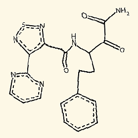 NC(=O)C(=O)C(CCc1ccccc1)NC(=O)c1nsnc1-c1ncccn1